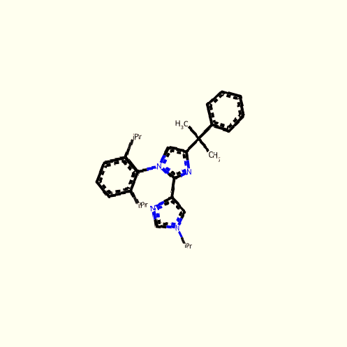 CC(C)c1cccc(C(C)C)c1-n1cc(C(C)(C)c2ccccc2)nc1-c1cn(C(C)C)cn1